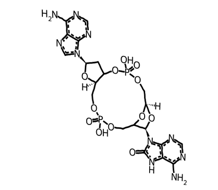 Nc1ncnc2c1ncn2[C@H]1CC2OP(=O)(O)OC[C@@H]3OC(COP(=O)(O)OC[C@H]2O1)[C@H](n1c(=O)[nH]c2c(N)ncnc21)O3